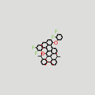 CC(C)c1cccc(C(C)C)c1-c1c(-c2c(C(C)C)cccc2C(C)C)c2cccc3c4c(Oc5cccc(F)c5F)ccc5cccc(c(c1Oc1cccc(F)c1F)c23)c54